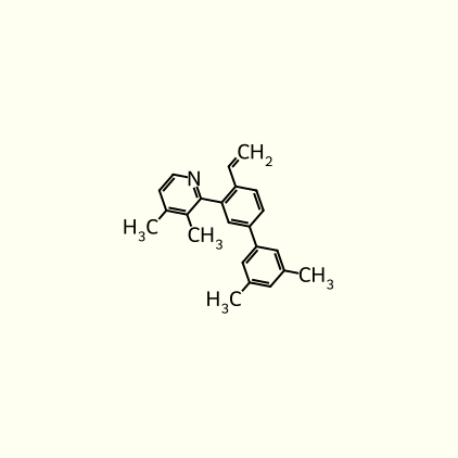 C=Cc1ccc(-c2cc(C)cc(C)c2)cc1-c1nccc(C)c1C